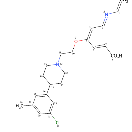 C=C/N=C/C=C(\C=C\C(=O)O)OCCN1CCC(c2cc(C)cc(Cl)c2)CC1